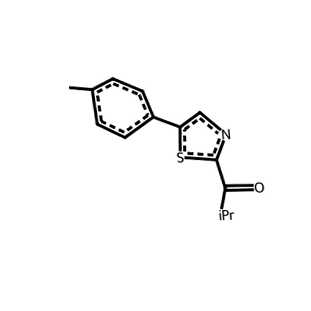 Cc1ccc(-c2cnc(C(=O)C(C)C)s2)cc1